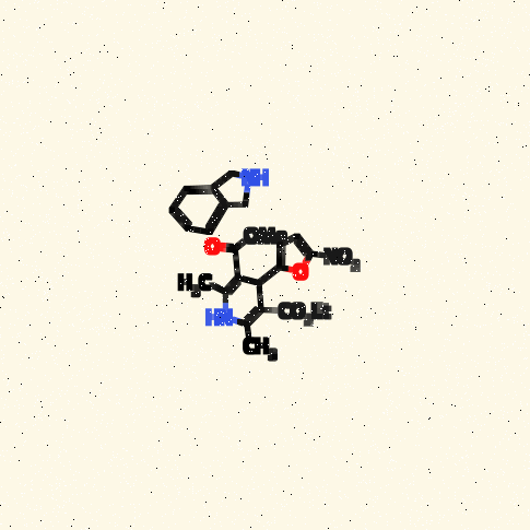 CCOC(=O)C1=C(C)NC(C)=C(C(=O)OC)C1c1ccc([N+](=O)[O-])o1.c1ccc2c(c1)CNC2